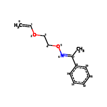 C=COCCON=C(C)c1ccccc1